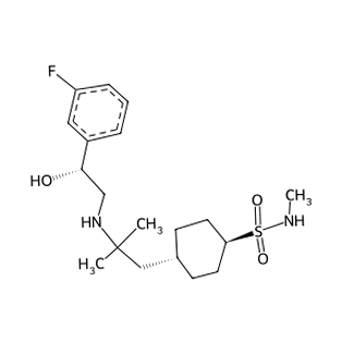 CNS(=O)(=O)[C@H]1CC[C@H](CC(C)(C)NC[C@H](O)c2cccc(F)c2)CC1